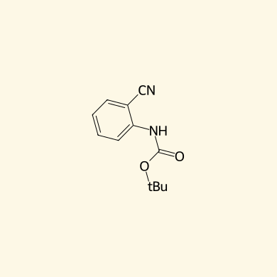 CC(C)(C)OC(=O)Nc1ccccc1C#N